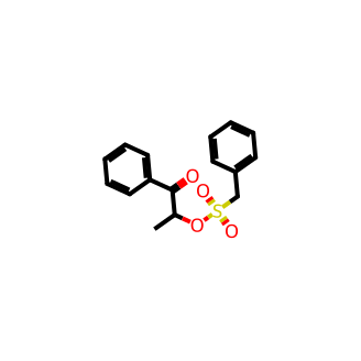 CC(OS(=O)(=O)Cc1ccccc1)C(=O)c1ccccc1